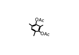 CC(=O)Oc1c(C)cc(C)c(OC(C)=O)c1C